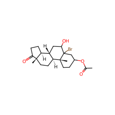 CC(=O)OC1CC[C@]2(C)[C@H]3CC[C@]4(C)C(=O)CC[C@H]4[C@@H]3CC(O)C2(Br)C1